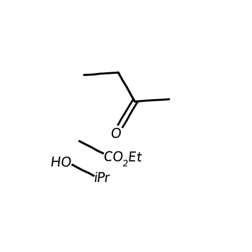 CC(C)O.CCC(C)=O.CCOC(C)=O